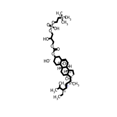 CC[C@H](/C=C/[C@@H](C)[C@H]1CC[C@H]2[C@@H]3CC=C4CC(OC(=O)OCC(O)COP(=O)(O)OCC[N+](C)(C)C)CC[C@]4(C)[C@H]3CC[C@]12C)C(C)C.[OH-]